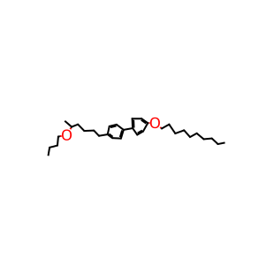 CCCCCCCCCCOc1ccc(-c2ccc(CCCCC(C)OCCCC)cc2)cc1